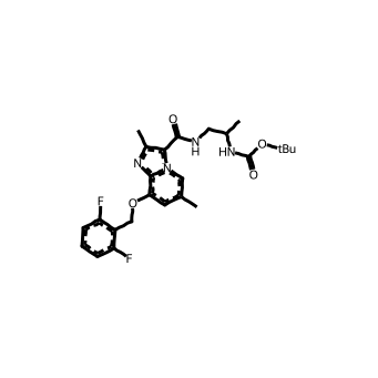 Cc1cc(OCc2c(F)cccc2F)c2nc(C)c(C(=O)NCC(C)NC(=O)OC(C)(C)C)n2c1